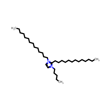 CCCCCCCCCCCCCC[n+]1ccn(CCCCC)c1CCCCCCCCCCCCC